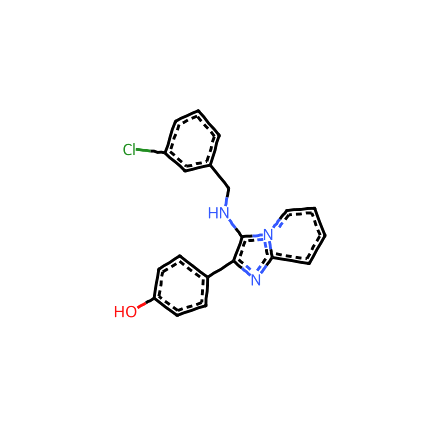 Oc1ccc(-c2nc3ccccn3c2NCc2cccc(Cl)c2)cc1